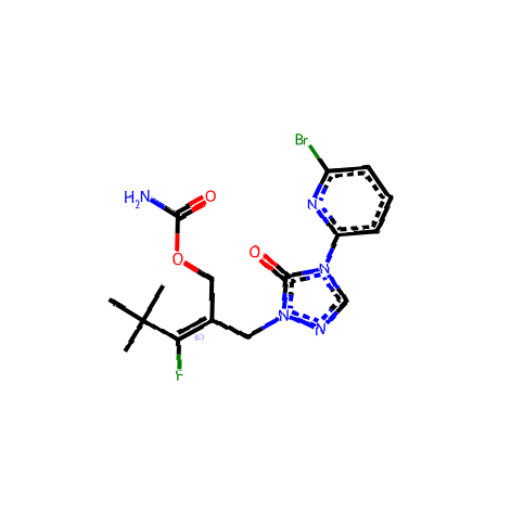 CC(C)(C)/C(F)=C(\COC(N)=O)Cn1ncn(-c2cccc(Br)n2)c1=O